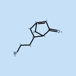 O=C1C=C2CC(CCBr)C1C2